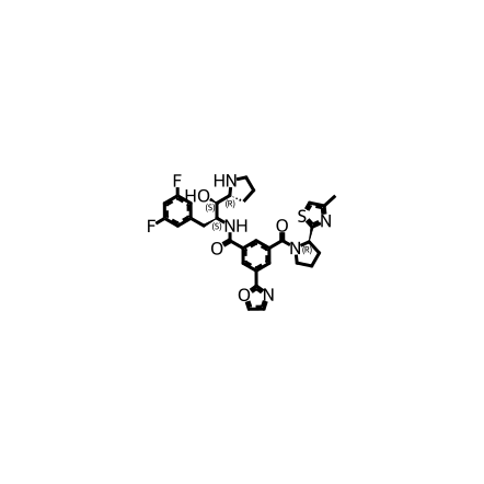 Cc1csc([C@H]2CCCN2C(=O)c2cc(C(=O)N[C@@H](Cc3cc(F)cc(F)c3)[C@@H](O)[C@H]3CCCN3)cc(-c3ncco3)c2)n1